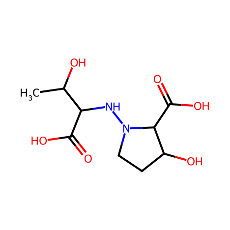 CC(O)C(NN1CCC(O)C1C(=O)O)C(=O)O